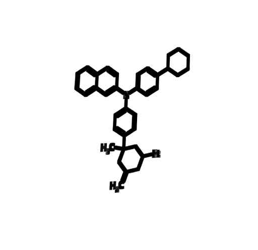 C=C1CC(CC)CC(C)(c2ccc(N(c3ccc(C4CCCCC4)cc3)c3ccc4ccccc4c3)cc2)C1